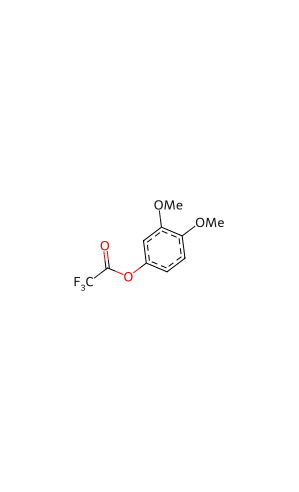 COc1ccc(OC(=O)C(F)(F)F)cc1OC